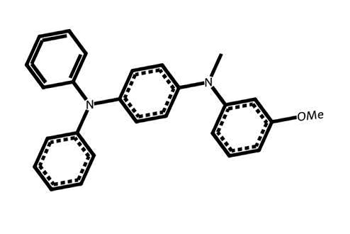 COc1cccc(N(C)c2ccc(N(C3=CC=C=C=C3)c3ccccc3)cc2)c1